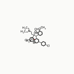 CCN(CC)CCC(O)(c1cc(Cl)cc(Cl)c1)C(c1cc(-c2ccc(Cl)cc2)cnc1OC)c1cccc(OC)c1OC